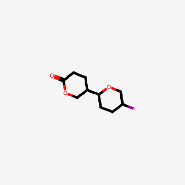 O=C1CCC(C2CCC(I)CO2)CO1